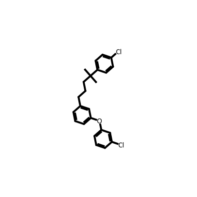 CC(C)(CCCc1cccc(Oc2cccc(Cl)c2)c1)c1ccc(Cl)cc1